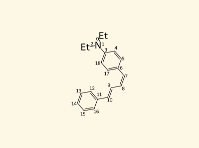 CCN(CC)c1ccc(/C=C\C=C\c2ccccc2)cc1